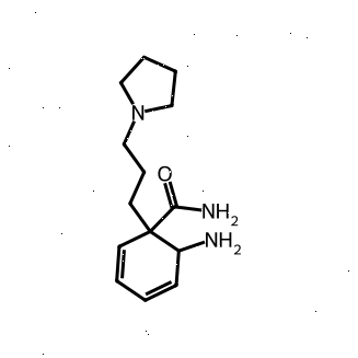 NC(=O)C1(CCCN2CCCC2)C=CC=CC1N